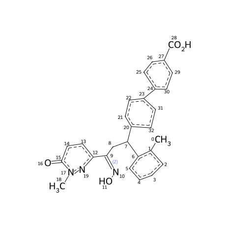 Cc1ccccc1C(C/C(=N/O)c1ccc(=O)n(C)n1)c1ccc(-c2ccc(C(=O)O)cc2)cc1